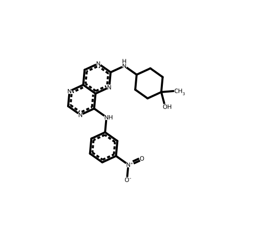 CC1(O)CCC(Nc2ncc3ncnc(Nc4cccc([N+](=O)[O-])c4)c3n2)CC1